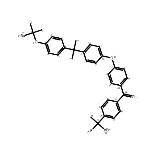 CCCCC(C)(C)Oc1ccc(C(C)(C)c2ccc(Oc3ccc(C(=O)c4ccc(C(C)(F)CCC)cc4)cc3)cc2)cc1